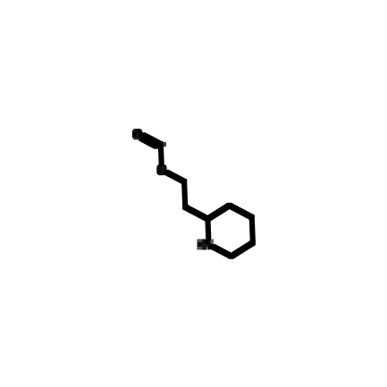 O=[C]OCCC1CCCCN1